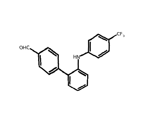 O=Cc1ccc(-c2ccccc2Nc2ccc(C(F)(F)F)cc2)cc1